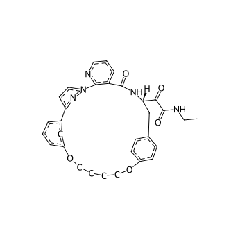 CCNC(=O)C(=O)[C@@H]1Cc2ccc(cc2)OCCCCOc2cccc(c2)-c2ccn(n2)-c2ncccc2C(=O)N1